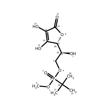 COP(=O)(OC[C@H](O)[C@H]1OC(=O)C(O)=C1O)C(C)(C)C